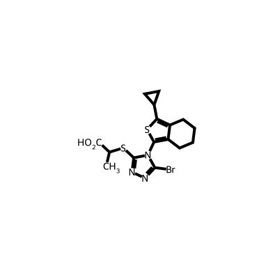 CC(Sc1nnc(Br)n1-c1sc(C2CC2)c2c1CCCC2)C(=O)O